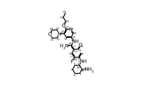 C=C(N[C@@H]1CCCC[C@@H]1N)/C(F)=C\C(C=O)=C(/N)Nc1cnc(OCCC)c(N2CCOCC2)c1